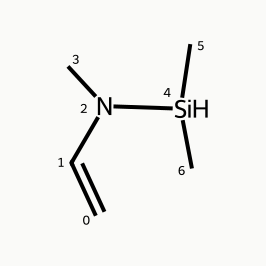 C=CN(C)[SiH](C)C